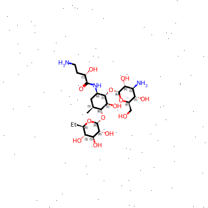 CC[C@H]1O[C@H](O[C@H]2[C@H](O)[C@@H](O[C@H]3O[C@H](CO)[C@@H](O)[C@H](N)[C@H]3O)[C@H](NC(=O)[C@@H](O)CCN)C[C@@H]2C)[C@H](O)[C@@H](O)[C@@H]1O